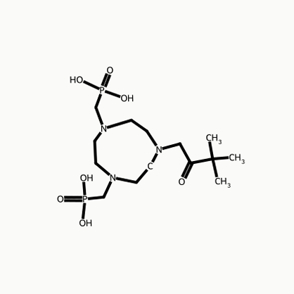 CC(C)(C)C(=O)CN1CCN(CP(=O)(O)O)CCN(CP(=O)(O)O)CC1